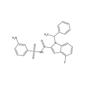 CC(c1ccccc1)n1c(C(=O)NS(=O)(=O)c2cccc(N)c2)cc2c(F)cccc21